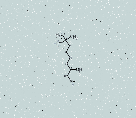 CC(C)(C)CCCCC(O)CS